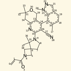 C=CC(=O)N1CC2(CCN(c3nc4c(c(-c5c(C)ccc6cnn(C)c56)c3C#N)COC(C)(C)C4)C2(C)C)C1